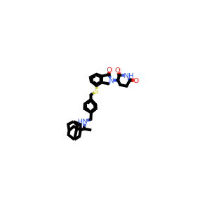 CC(NCc1ccc(CSc2cccc3c2CN(C2CCC(=O)NC2=O)C3=O)cc1)C12CC3CC(CC(C3)C1)C2